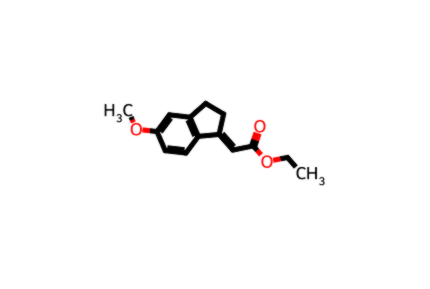 CCOC(=O)C=C1CCc2cc(OC)ccc21